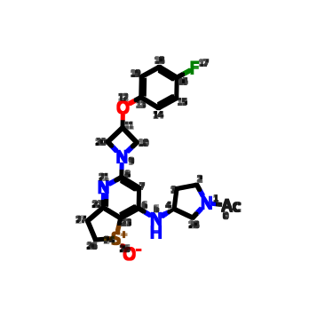 CC(=O)N1CC[C@H](Nc2cc(N3CC(Oc4ccc(F)cc4)C3)nc3c2[S@+]([O-])CC3)C1